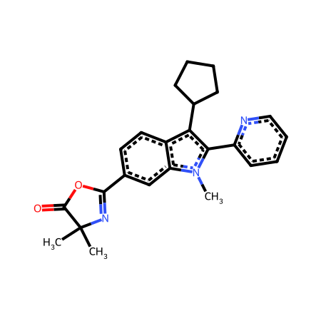 Cn1c(-c2ccccn2)c(C2CCCC2)c2ccc(C3=NC(C)(C)C(=O)O3)cc21